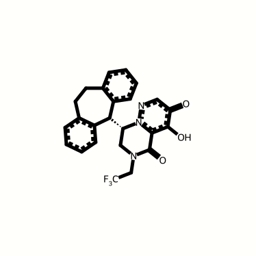 O=C1c2c(O)c(=O)cnn2[C@@H](C2c3ccccc3CCc3ccccc32)CN1CC(F)(F)F